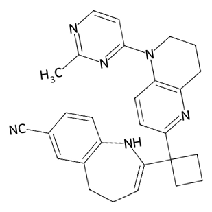 Cc1nccc(N2CCCc3nc(C4(C5=CCCc6cc(C#N)ccc6N5)CCC4)ccc32)n1